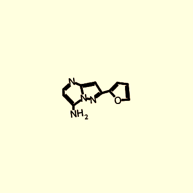 Nc1ccnc2cc(-c3ccco3)nn12